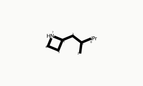 CC(C)C(C)CC1CCN1